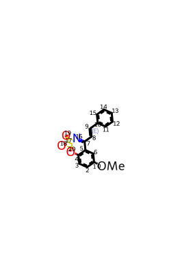 COc1ccc2c(c1)C(/C=C/c1ccccc1)=NS(=O)(=O)O2